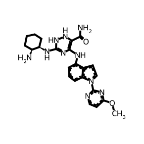 COc1ccnc(-n2ccc3c(NC4=C(C(N)=O)NNC(N[C@@H]5CCCC[C@@H]5N)=N4)cccc32)n1